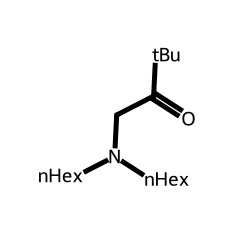 CCCCCCN(CCCCCC)CC(=O)C(C)(C)C